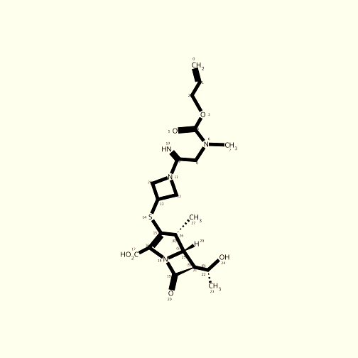 C=CCOC(=O)N(C)CC(=N)N1CC(SC2=C(C(=O)O)N3C(=O)[C@H]([C@@H](C)O)[C@H]3[C@H]2C)C1